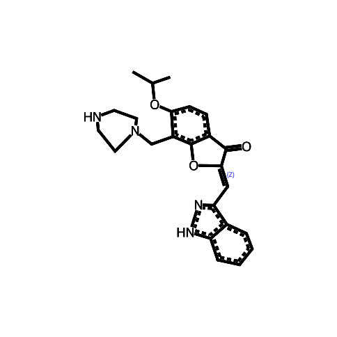 CC(C)Oc1ccc2c(c1CN1CCNCC1)O/C(=C\c1n[nH]c3ccccc13)C2=O